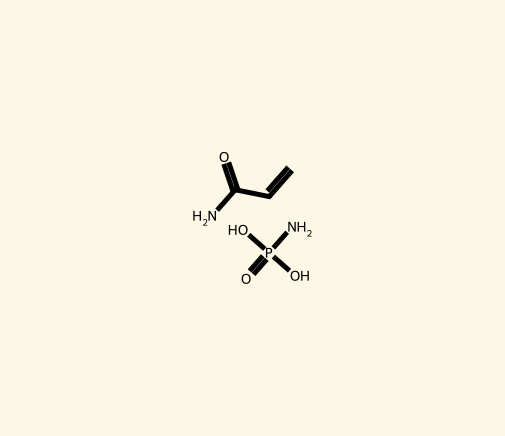 C=CC(N)=O.NP(=O)(O)O